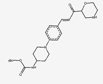 CC(C)(C)OC(=O)NC1CCN(c2ccc(C=CC(=O)C3CNCCO3)cc2)CC1